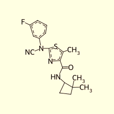 Cc1sc(N(C#N)c2cccc(F)c2)nc1C(=O)NC1CCC1(C)C